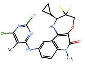 Cn1c(=O)c2c(c3cc(Nc4nc(Cl)nc(Cl)c4C#N)ccc31)N[C@@H](C1CC1)C(F)(F)CO2